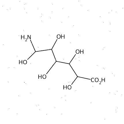 NC(O)C(O)C(O)C(O)C(O)C(=O)O